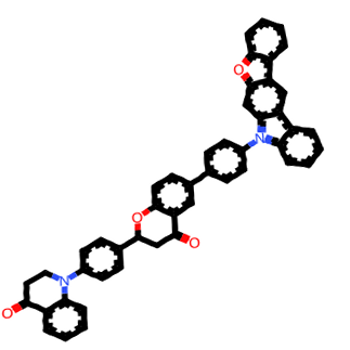 O=C1CC(c2ccc(N3CCC(=O)c4ccccc43)cc2)Oc2ccc(-c3ccc(-n4c5ccccc5c5cc6c(cc54)oc4ccccc46)cc3)cc21